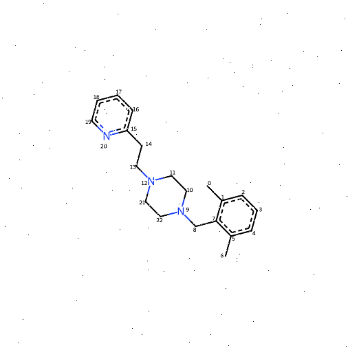 Cc1cccc(C)c1CN1CCN(CCc2ccccn2)CC1